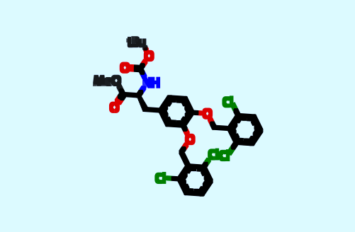 COC(=O)[C@H](Cc1ccc(OCc2c(Cl)cccc2Cl)c(OCc2c(Cl)cccc2Cl)c1)NC(=O)OC(C)(C)C